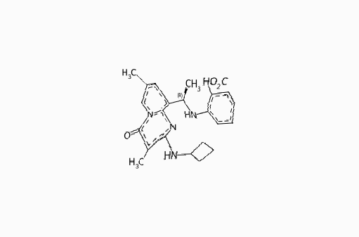 Cc1cc([C@@H](C)Nc2ccccc2C(=O)O)c2nc(NC3CCC3)c(C)c(=O)n2c1